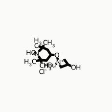 CCCC[N+]1(OC2CC(C)(C)N(O)C(C)(C)C2)CC(O)C1.[Cl-]